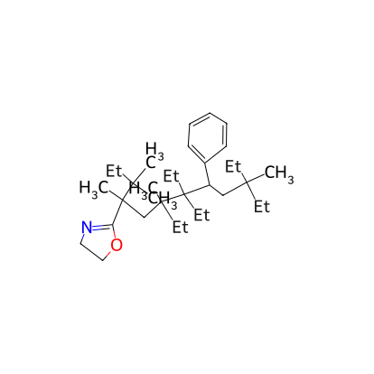 CCC(C)(CC)CC(c1ccccc1)C(CC)(CC)C(C)(CC)CC(C)(C1=NCCO1)C(C)(C)CC